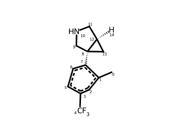 Cc1cc(C(F)(F)F)ccc1[C@]12CNC[C@H]1C2